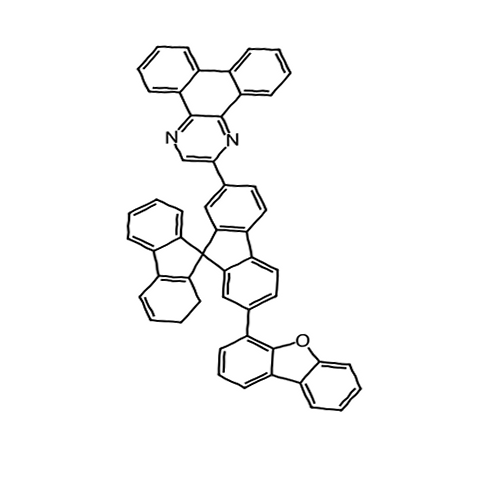 C1=CC2=C(CC1)C1(c3ccccc32)c2cc(-c3cnc4c5ccccc5c5ccccc5c4n3)ccc2-c2ccc(-c3cccc4c3oc3ccccc34)cc21